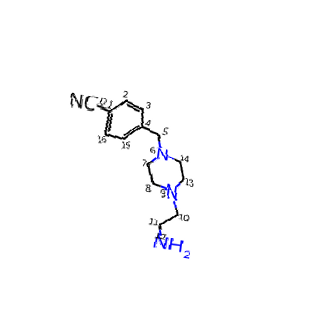 N#Cc1ccc(CN2CCN(CCN)CC2)cc1